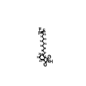 O=C1NC(=O)c2c(CCCCCCCCCC(F)(F)F)cccc21